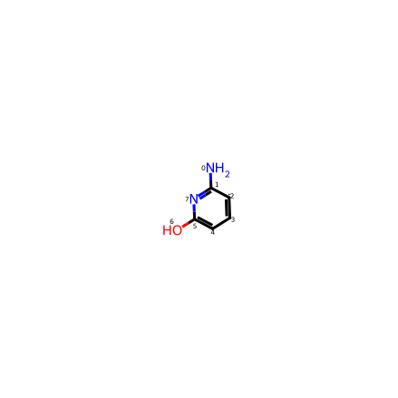 Nc1[c]ccc(O)n1